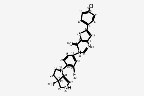 O=c1c2sc(-c3ccc(Cl)cc3)cc2ncn1-c1ccc(N2CC[C@H]3CNC=C32)c(F)c1